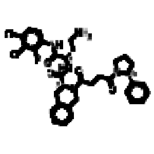 NCC[C@H](NC(=O)[C@@H]1Cc2ccccc2CN1C(=O)CCC(=O)N1CCC[C@@H]1c1ccccc1)C(=O)Nc1ccc(Cl)c(Cl)c1F